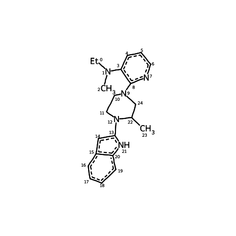 CCN(C)c1cccnc1N1CCN(c2cc3ccccc3[nH]2)C(C)C1